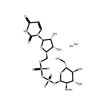 CC(=O)N[C@H]1[C@@H](OP(=O)([O-])OP(=O)([O-])OC[C@H]2O[C@@H](n3ccc(=O)[nH]c3=O)[C@H](O)[C@@H]2O)O[C@H](CO)[C@@H](O)[C@@H]1O.[Na+].[Na+]